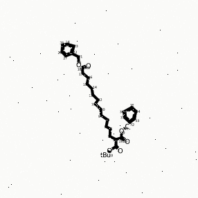 CC(C)(C)OC(=O)C(CCCCCCCCCCCCCC(=O)OCc1ccccc1)C(=O)OCc1ccccc1